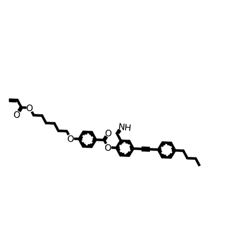 C=CC(=O)OCCCCCCOc1ccc(C(=O)Oc2ccc(C#Cc3ccc(CCCC)cc3)cc2C=N)cc1